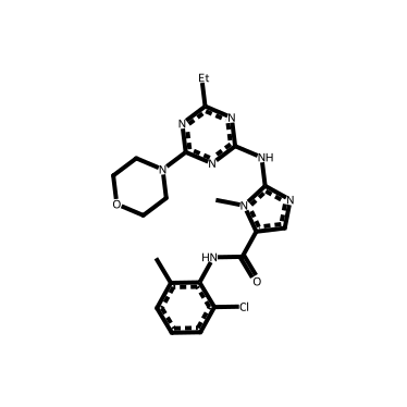 CCc1nc(Nc2ncc(C(=O)Nc3c(C)cccc3Cl)n2C)nc(N2CCOCC2)n1